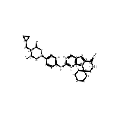 CC1CN(c2ccc(Nc3ncc4cc5n(c4n3)C3(CCCCC3)CNC5=O)nc2)C[C@@H](C)N1CC1CC1